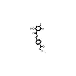 COC(=O)c1ccc(/C=C/C(=O)c2cc(F)c(F)cc2O)cc1